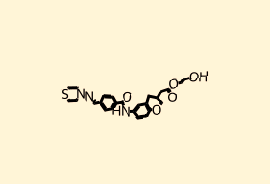 O=C(CC1COc2ccc(NC(=O)c3ccc(/C=N/N4CCSCC4)cc3)cc2C1)OCCO